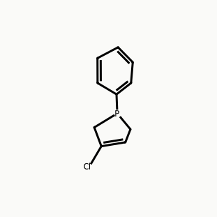 ClC1=CCP(c2ccccc2)C1